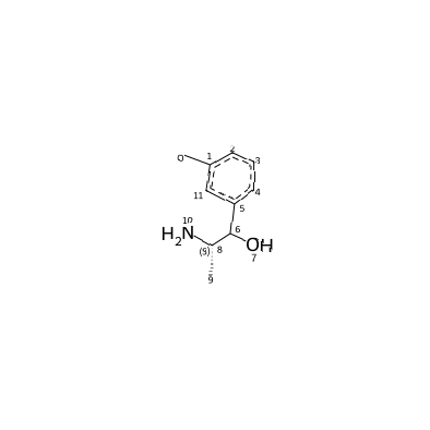 Cc1cccc(C(O)[C@H](C)N)c1